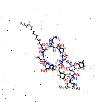 CC[C@H](C)C[C@H](C)CCCCCCCCC(=O)N[C@H]1C[C@@H](O)[C@@H](NCCN)NC(=O)[C@@H]2[C@@H](O)CCN2C(=O)[C@H]([C@H](O)CCNC(=O)[C@H](Cc2ccccc2)N2C(=O)[C@@H](NC(=O)[C@H](CCSC)NC=O)CC2C)NC(=O)[C@H]([C@H](O)[C@@H](O)c2ccc(O)cc2)NC(=O)[C@@H]2C[C@@H](O)CN2C(=O)[C@H]([C@H](O)CF)NC1=O